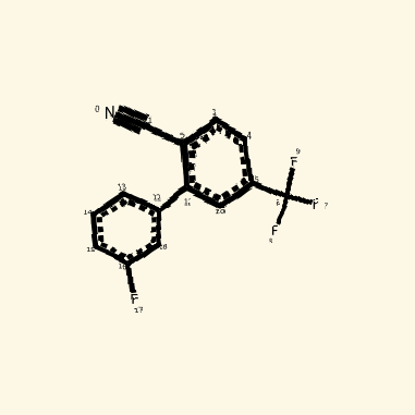 N#Cc1ccc(C(F)(F)F)cc1-c1cccc(F)c1